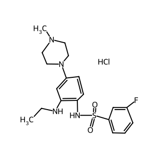 CCNc1cc(N2CCN(C)CC2)ccc1NS(=O)(=O)c1cccc(F)c1.Cl